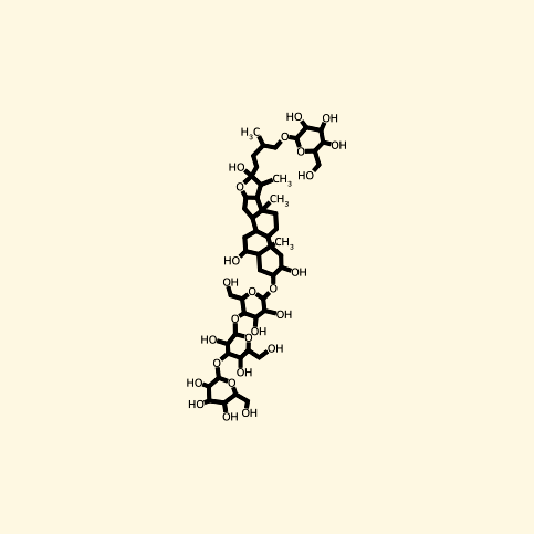 CC(CCC1(O)OC2CC3C4CC(O)C5CC(OC6OC(CO)C(OC7OC(CO)C(O)C(OC8OC(CO)C(O)C(O)C8O)C7O)C(O)C6O)C(O)CC5(C)C4CCC3(C)C2C1C)COC1OC(CO)C(O)C(O)C1O